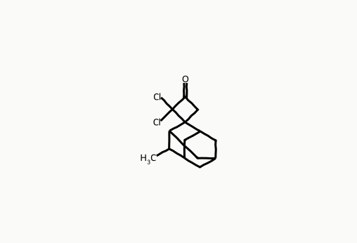 CC1C2CC3CC(C2)C2(CC(=O)C2(Cl)Cl)C1C3